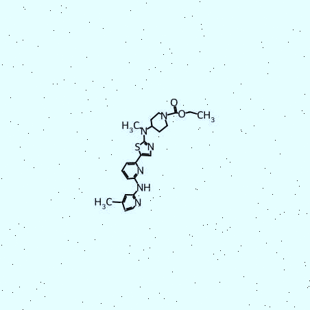 CCOC(=O)N1CCC(N(C)c2ncc(-c3cccc(Nc4cc(C)ccn4)n3)s2)CC1